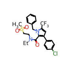 CCN(CCS(C)(=O)=O)C(=O)c1c(-c2ccc(Cl)cc2)cc(C(F)(F)F)n1Cc1ccccc1